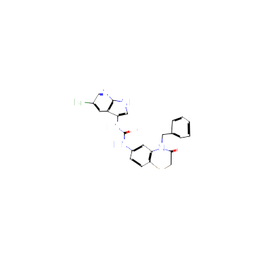 O=C(Nc1ccc2c(c1)N(Cc1ccccc1)C(=O)CS2)Nc1c[nH]c2ncc(Br)cc12